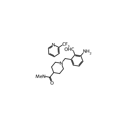 CNC(=O)C1CCN(Cc2cccc(N)c2C=O)CC1.FC(F)(F)c1ccccn1